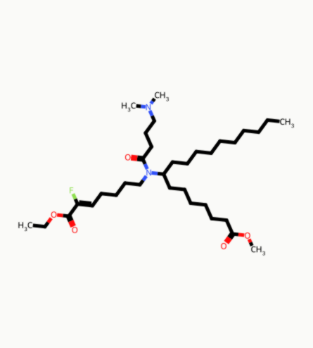 CCCCCCCCCCC(CCCCCCC(=O)OC)N(CCCC/C=C(\F)C(=O)OCC)C(=O)CCCN(C)C